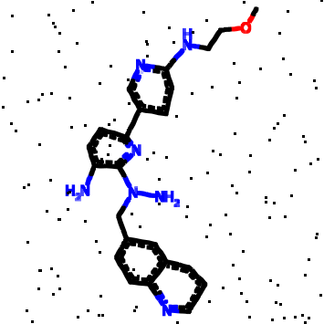 COCCNc1ccc(-c2ccc(N)c(N(N)Cc3ccc4ncccc4c3)n2)cn1